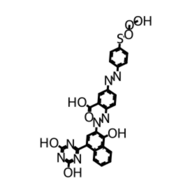 O=C(O)c1cc(/N=N/c2ccc(SOOO)cc2)ccc1/N=N/c1cc(-c2nc(O)nc(O)n2)c2ccccc2c1O